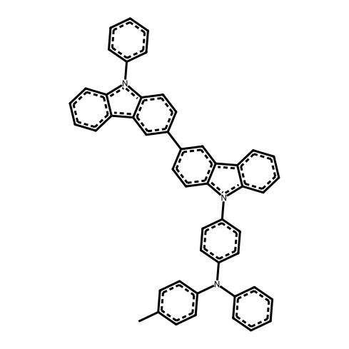 Cc1ccc(N(c2ccccc2)c2ccc(-n3c4ccccc4c4cc(-c5ccc6c(c5)c5ccccc5n6-c5ccccc5)ccc43)cc2)cc1